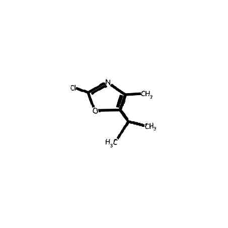 Cc1nc(Cl)oc1C(C)C